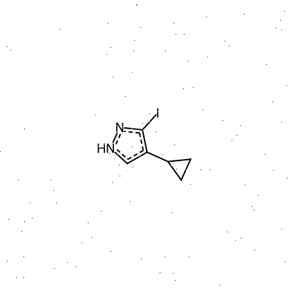 Ic1n[nH]cc1C1CC1